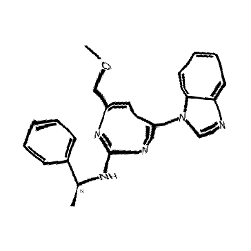 COCc1cc(-n2cnc3ccccc32)nc(N[C@@H](C)c2ccccc2)n1